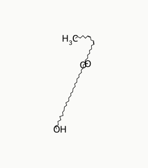 CCCCC/C=C\C/C=C\CCCCCCCC(=O)OCCCCCCCCCCCCCCCCCCCCCCCCCCO